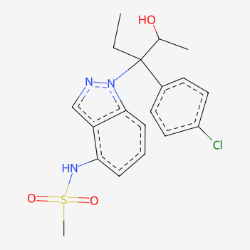 CCC(c1ccc(Cl)cc1)(C(C)O)n1ncc2c(NS(C)(=O)=O)cccc21